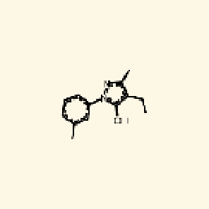 CCc1c(C)nn(-c2cccc(C)c2)c1O